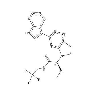 CC[C@@H](C(=O)NCC(F)(F)F)N1CCc2cnc(-c3c[nH]c4ncncc34)nc21